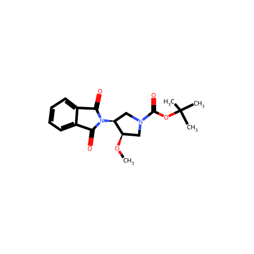 CO[C@@H]1CN(C(=O)OC(C)(C)C)C[C@@H]1N1C(=O)c2ccccc2C1=O